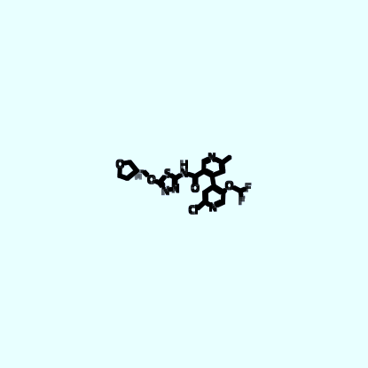 Cc1cc(-c2cc(Cl)ncc2OC(F)F)c(C(=O)Nc2nnc(OC[C@@H]3CCOC3)s2)cn1